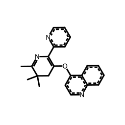 CC1=NC(c2ccccn2)=C(Oc2ccnc3ccccc23)CC1(C)C